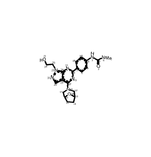 CNC(=O)Nc1ccc(-c2nc(N3CC4CCC(C3)O4)c3cnn(CCO)c3n2)cc1